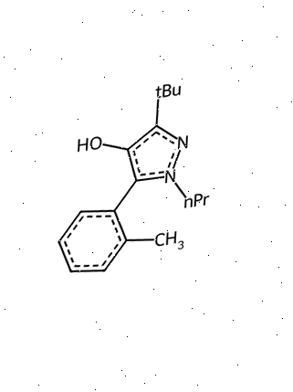 CCCn1nc(C(C)(C)C)c(O)c1-c1ccccc1C